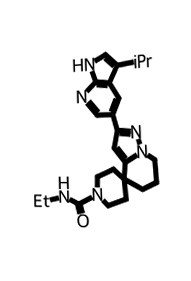 CCNC(=O)N1CCC2(CCCn3nc(-c4cnc5[nH]cc(C(C)C)c5c4)cc32)CC1